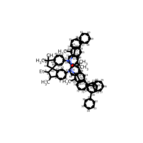 CCC1C(C)c2ccc(N(c3ccc(-c4ccccc4)cc3C)c3ccc(-c4cccc(-c5ccccc5)c4)cc3C)cc2C12CC(C)(C)c1ccc(N(c3ccc(-c4ccccc4)cc3C)c3ccc(-c4cccc(-c5ccccc5)c4)cc3C)cc12